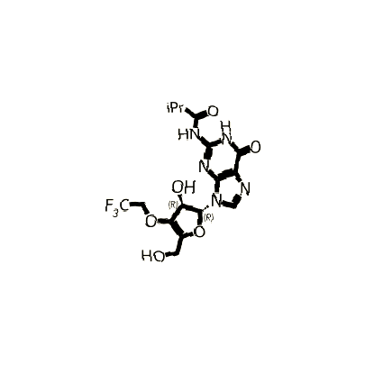 CC(C)C(=O)Nc1nc2c(ncn2[C@@H]2OC(CO)=C(OCC(F)(F)F)[C@H]2O)c(=O)[nH]1